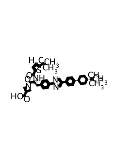 CC(C)(C)c1ccc(C(=O)N[C@@H](Cc2ccc(-c3ncc(-c4ccc([C@H]5CC[C@@H](C(C)(C)C)CC5)cc4)cn3)cc2)C(=O)N2CC(C(=O)O)C2)s1